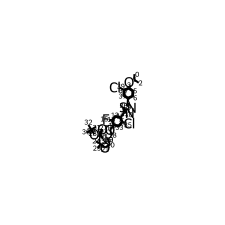 CC(C)Oc1ccc(-c2nnc(-c3cc(F)c(OC[C@H]4COC(C)(C)N4C(=O)OC(C)(C)C)cc3Cl)s2)cc1Cl